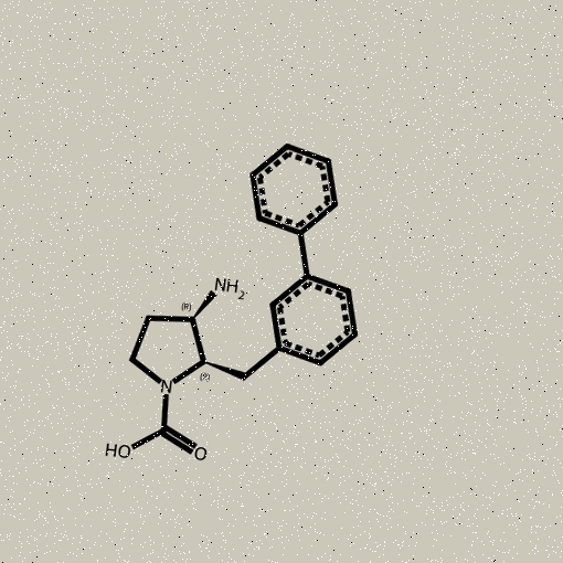 N[C@@H]1CCN(C(=O)O)[C@@H]1Cc1cccc(-c2ccccc2)c1